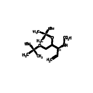 C=C[C@H](NC(=O)O)C(CO[Si](C)(C)C(C)(C)C)O[Si](C)(C)C(C)(C)C